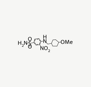 COC1CCC(CNc2ccc(S(N)(=O)=O)cc2[N+](=O)[O-])CC1